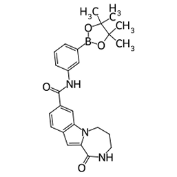 CC1(C)OB(c2cccc(NC(=O)c3ccc4cc5n(c4c3)CCCNC5=O)c2)OC1(C)C